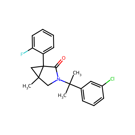 CC(C)(c1cccc(Cl)c1)N1CC2(C)CC2(c2ccccc2F)C1=O